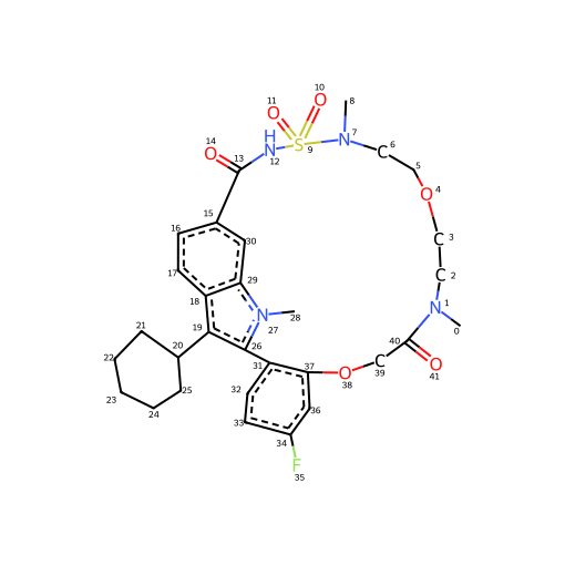 CN1CCOCCN(C)S(=O)(=O)NC(=O)c2ccc3c(C4CCCCC4)c(n(C)c3c2)-c2ccc(F)cc2OCC1=O